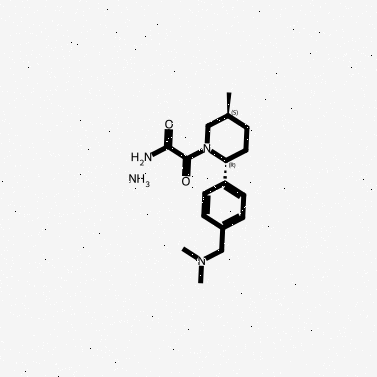 C[C@H]1CC[C@H](c2ccc(CN(C)C)cc2)N(C(=O)C(N)=O)C1.N